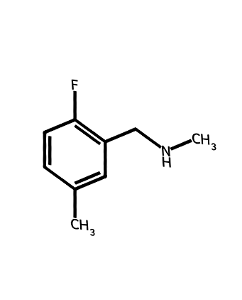 CNCc1cc(C)ccc1F